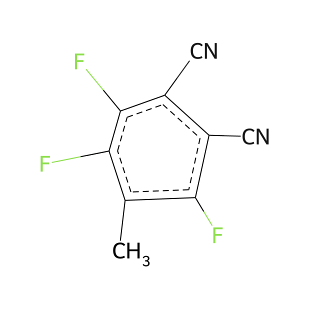 Cc1c(F)c(F)c(C#N)c(C#N)c1F